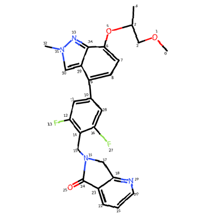 COCC(C)Oc1ccc(-c2cc(F)c(CN3Cc4ncccc4C3=O)c(F)c2)c2cn(C)nc12